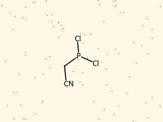 N#CCP(Cl)Cl